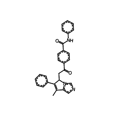 CC1=C(c2ccccc2)C(CC(=O)c2ccc(C(=O)Nc3ccccc3)cc2)n2cncc21